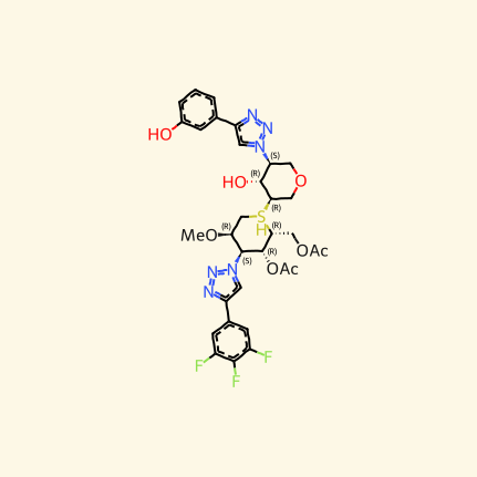 CO[C@H]1C[SH]([C@@H]2COC[C@H](n3cc(-c4cccc(O)c4)nn3)[C@H]2O)[C@H](COC(C)=O)[C@H](OC(C)=O)[C@H]1n1cc(-c2cc(F)c(F)c(F)c2)nn1